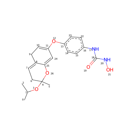 CC(C)OC1(C)CC=C2CC=C(Oc3ccc(NC(=O)NO)cc3)C=C2O1